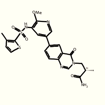 COc1ncc(-c2ccc3ncn(C[C@H](C)C(N)=O)c(=O)c3c2)cc1NS(=O)(=O)c1sccc1C